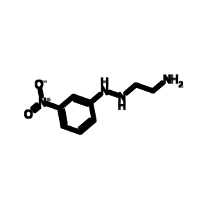 NCCNNc1cccc([N+](=O)[O-])c1